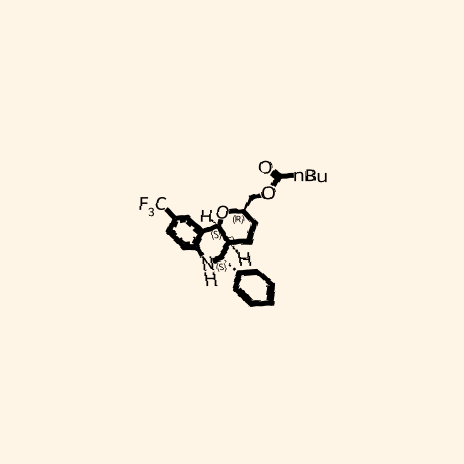 CCCCC(=O)OC[C@H]1CC[C@@H]2[C@H](O1)c1cc(C(F)(F)F)ccc1N[C@H]2C1C=CC=CC1